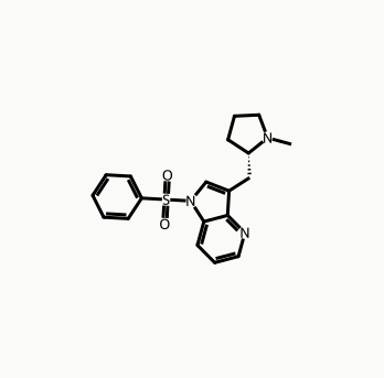 CN1CCC[C@H]1Cc1cn(S(=O)(=O)c2ccccc2)c2cccnc12